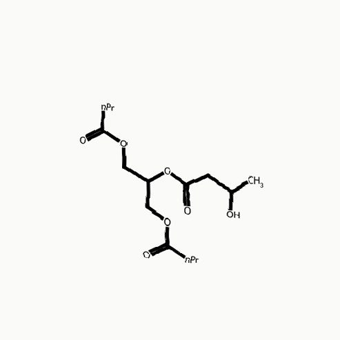 CCCC(=O)OCC(COC(=O)CCC)OC(=O)CC(C)O